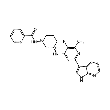 Cc1nc(-c2c[nH]c3ncncc23)nc(N[C@@H]2CCC[C@H](NC(=O)c3ccccn3)C2)c1F